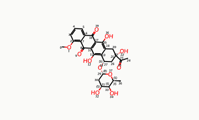 COc1cccc2c1C(=O)c1c(O)c3c(c(O)c1C2=O)C[C@@](O)(C(C)=O)C[C@@H]3O[C@H]1C[C@H](O)[C@H](O)[C@H](C)O1